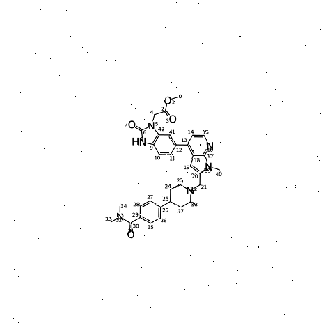 COC(=O)Cn1c(=O)[nH]c2ccc(-c3ccnc4c3cc(CN3CCC(c5ccc(C(=O)N(C)C)cc5)CC3)n4C)cc21